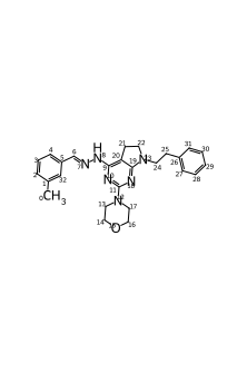 Cc1cccc(/C=N/Nc2nc(N3CCOCC3)nc3c2CCN3CCc2ccccc2)c1